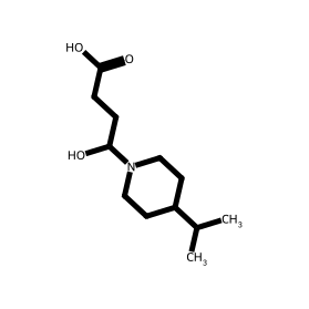 CC(C)C1CCN(C(O)CCC(=O)O)CC1